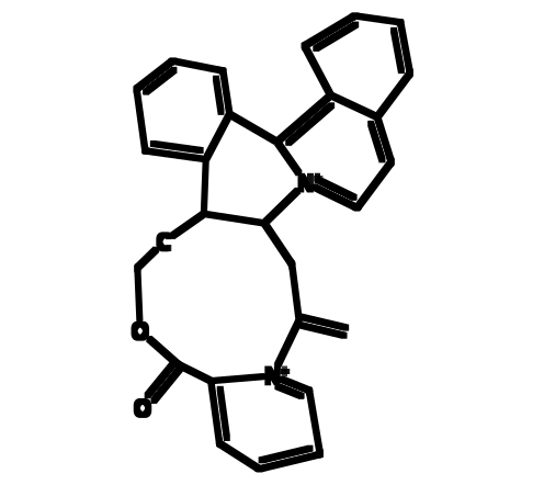 C=C1CC2C(CCOC(=O)c3cccc[n+]31)c1ccccc1-c1c3ccccc3cc[n+]12